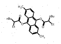 CCCCC(CC)C(=O)Oc1c2ccc(C)cc2c(OC(=O)C(CC)CCCC)c2ccc(C)cc12